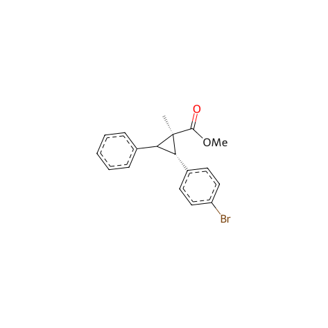 COC(=O)[C@]1(C)C(c2ccccc2)[C@H]1c1ccc(Br)cc1